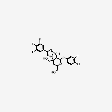 OCC1CC(CO)(n2cc(-c3cc(F)c(F)c(F)c3)nn2)[C@@H](O)[C@@H](Sc2ccc(Cl)c(Cl)c2)O1